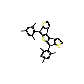 Cc1cc(C)c(C2=c3sc4c(c3-c3ccsc32)-c2ccsc2C=4c2c(C)cc(C)cc2C)c(C)c1